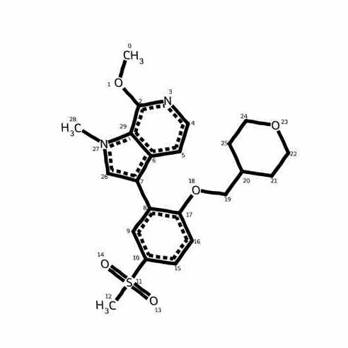 COc1nccc2c(-c3cc(S(C)(=O)=O)ccc3OCC3CCOCC3)cn(C)c12